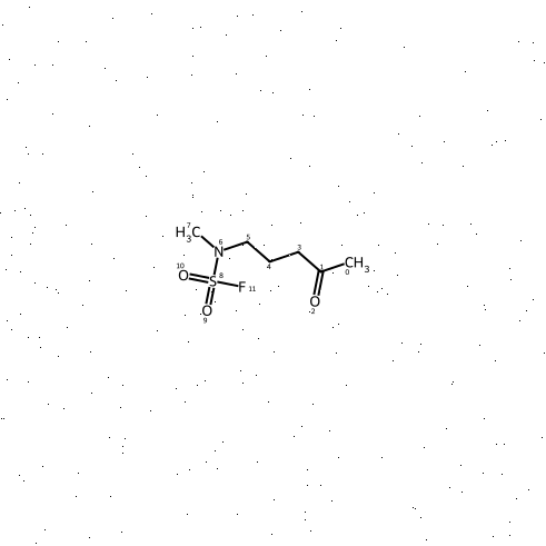 CC(=O)CCCN(C)S(=O)(=O)F